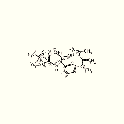 C=C(CN(C)C)N(C)c1cccc([C@H](NC(=O)OC(C)(C)C)C(O)O)c1